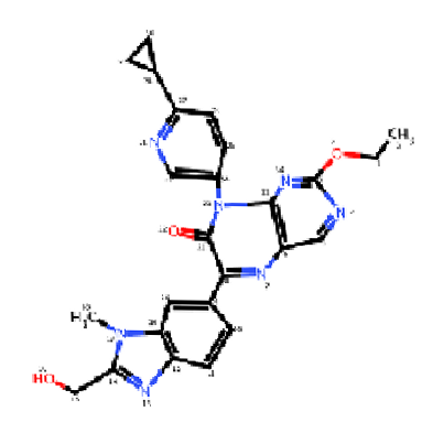 CCOc1ncc2nc(-c3ccc4nc(CO)n(C)c4c3)c(=O)n(-c3ccc(C4CC4)nc3)c2n1